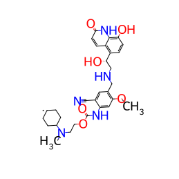 COc1cc(NC(=O)OCCN(C)C2CC[CH]CC2)c(C#N)cc1CNC[C@H](O)c1ccc(O)c2[nH]c(=O)ccc12